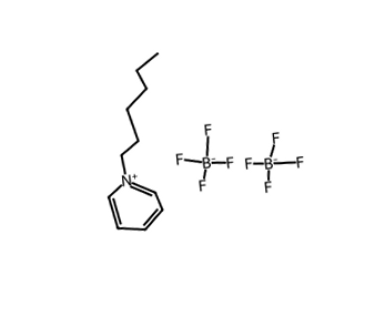 CCCCCC[n+]1ccccc1.F[B-](F)(F)F.F[B-](F)(F)F